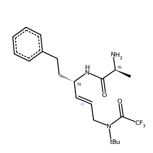 C[C@H](N)C(=O)N[C@H](/C=C/CN(C(=O)C(F)(F)F)C(C)(C)C)CCc1ccccc1